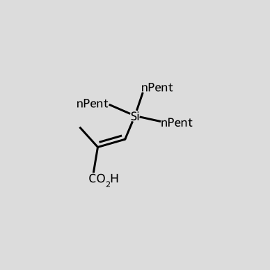 CCCCC[Si](C=C(C)C(=O)O)(CCCCC)CCCCC